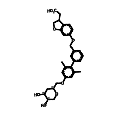 Cc1cc(OC[C@@H]2C[C@H](O)[C@H](O)CO2)cc(C)c1-c1cccc(COc2ccc3c(c2)OCC3CC(=O)O)c1